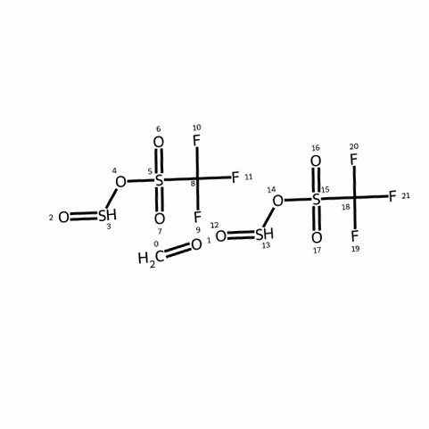 C=O.O=[SH]OS(=O)(=O)C(F)(F)F.O=[SH]OS(=O)(=O)C(F)(F)F